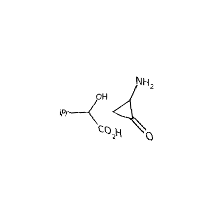 CC(C)C(O)C(=O)O.NC1CC1=O